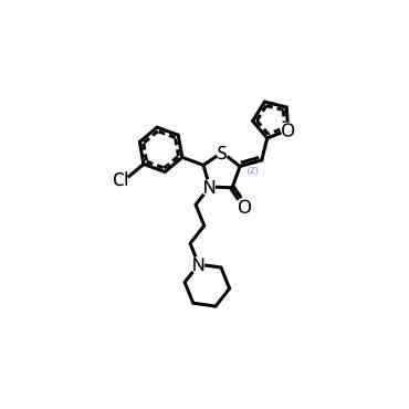 O=C1/C(=C/c2ccco2)SC(c2cccc(Cl)c2)N1CCCN1CCCCC1